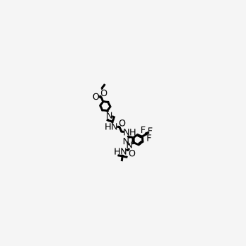 CCOC(=O)C1CCC(N2CC(NC(=O)CNc3nn(C(=O)NC(C)(C)C)c4ccc(C(F)(F)F)cc34)C2)CC1